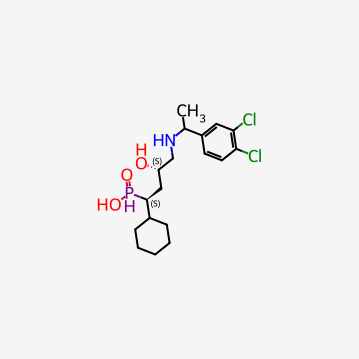 CC(NC[C@@H](O)C[C@@H](C1CCCCC1)[PH](=O)O)c1ccc(Cl)c(Cl)c1